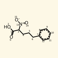 O=C(O)C(CCCc1ccccc1)[N+](=O)[O-]